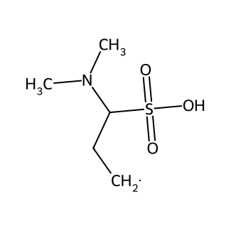 [CH2]CC(N(C)C)S(=O)(=O)O